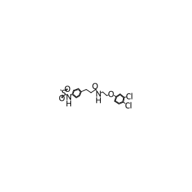 CS(=O)(=O)Nc1ccc(CCC(=O)NCCOc2ccc(Cl)c(Cl)c2)cc1